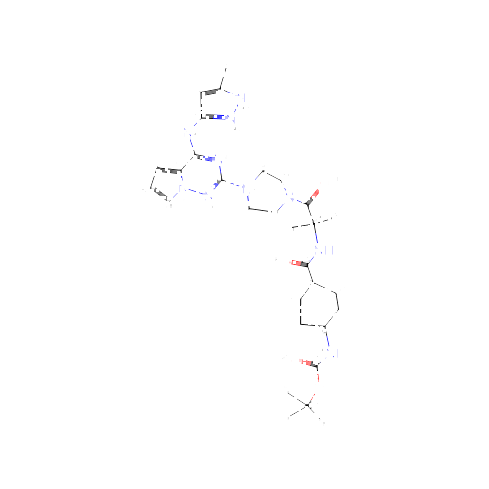 Cc1cc(Nc2nc(N3CCN(C(=O)C(C)(C)NC(=O)C4CCC(NC(=O)OC(C)(C)C)CC4)CC3)nn3cccc23)n[nH]1